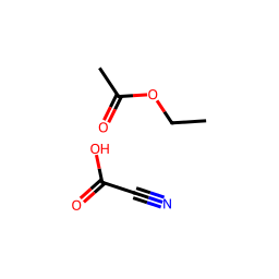 CCOC(C)=O.N#CC(=O)O